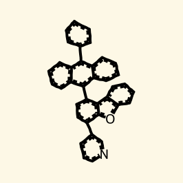 c1ccc(-c2c3ccccc3c(-c3ccc(-c4cccnc4)c4oc5ccccc5c34)c3ccccc23)cc1